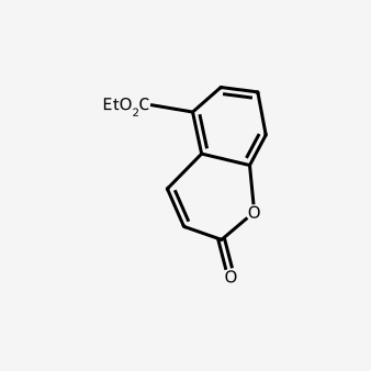 CCOC(=O)c1cccc2oc(=O)ccc12